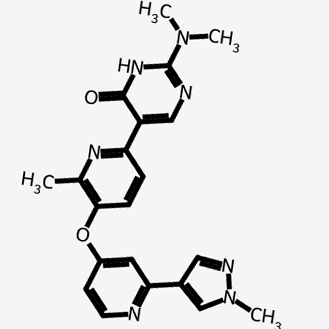 Cc1nc(-c2cnc(N(C)C)[nH]c2=O)ccc1Oc1ccnc(-c2cnn(C)c2)c1